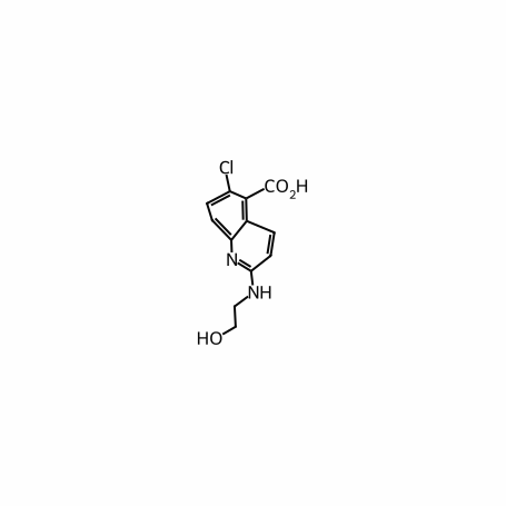 O=C(O)c1c(Cl)ccc2nc(NCCO)ccc12